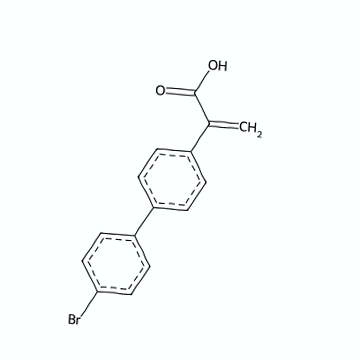 C=C(C(=O)O)c1ccc(-c2ccc(Br)cc2)cc1